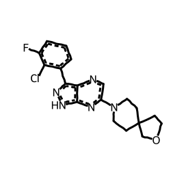 Fc1cccc(-c2n[nH]c3nc(N4CCC5(CCOC5)CC4)cnc23)c1Cl